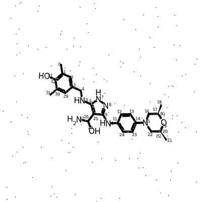 Cc1cc(CNc2[nH]nc(Nc3ccc(N4C[C@@H](C)O[C@@H](C)C4)cc3)c2C(N)O)cc(C)c1O